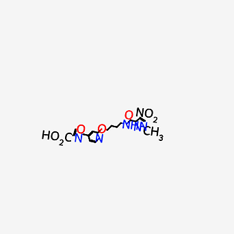 Cn1cc([N+](=O)[O-])c(C(=O)NCCCCOc2cc(-c3nc(C(=O)O)co3)ccn2)n1